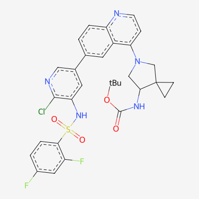 CC(C)(C)OC(=O)NC1CN(c2ccnc3ccc(-c4cnc(Cl)c(NS(=O)(=O)c5ccc(F)cc5F)c4)cc23)CC12CC2